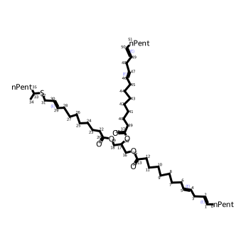 CCCCC/C=C/C/C=C/CCCCCCCC(=O)OCC(COC(=O)CCCCCCC/C=C/CSC(C)CCCCC)OC(=O)CCCCCCC/C=C/C/C=C/CCCCC